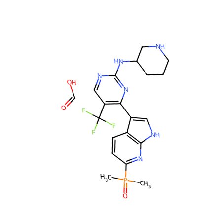 CP(C)(=O)c1ccc2c(-c3nc(NC4CCCNC4)ncc3C(F)(F)F)c[nH]c2n1.O=CO